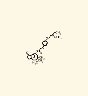 CCN(CC)CCOc1ccc(SCC(=O)O[C@@H]2CC(C)(C)[C@@H](C)CC34CCCC2C3C(=O)CC4)cc1